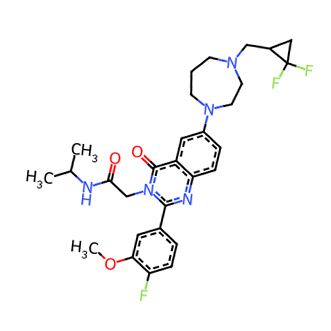 COc1cc(-c2nc3ccc(N4CCCN(CC5CC5(F)F)CC4)cc3c(=O)n2CC(=O)NC(C)C)ccc1F